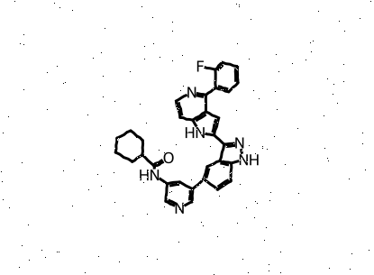 O=C(Nc1cncc(-c2ccc3[nH]nc(-c4cc5c(-c6ccccc6F)nccc5[nH]4)c3c2)c1)C1CCCCC1